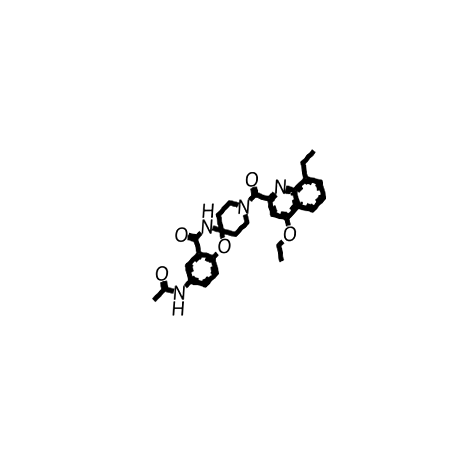 CCOc1cc(C(=O)N2CCC3(CC2)NC(=O)c2cc(NC(C)=O)ccc2O3)nc2c(CC)cccc12